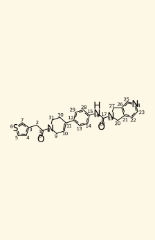 O=C(Cc1ccsc1)N1CC=C(c2ccc(NC(=O)N3Cc4ccncc4C3)cc2)CC1